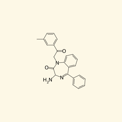 Cc1cccc(C(=O)CN2C(=O)C(N)N=C(c3ccccc3)c3ccccc32)c1